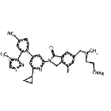 COCCN(C)Cc1cc(F)c2c(c1)C(=O)N(c1cc(-c3ccc(C#N)cc3-c3nncn3C)cc(C3CC3)n1)C2